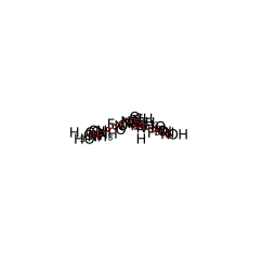 CC(C)[C@H](NC(=O)O)C(=O)N1CCC[C@H]1c1ncc(-c2ccc(-c3ccc(N4C[C@H](Cn5cc(COC(=O)N(C)[C@H](C(=O)N6CCC[C@H]6c6ncc(-c7ccc(-c8ccc(N9C[C@H](Cn%10cc(CO)nn%10)OC9=O)cc8F)cc7)[nH]6)C(C)C)nn5)OC4=O)cc3F)cc2)[nH]1